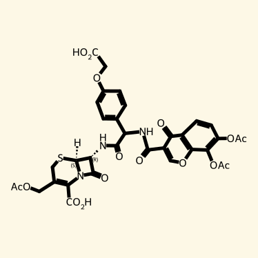 CC(=O)OCC1=C(C(=O)O)N2C(=O)[C@@H](NC(=O)C(NC(=O)c3coc4c(OC(C)=O)c(OC(C)=O)ccc4c3=O)c3ccc(OCC(=O)O)cc3)[C@@H]2SC1